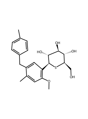 COc1cc(C)c(Cc2ccc(C)cc2)cc1[C@@H]1S[C@H](CO)[C@@H](O)[C@H](O)[C@H]1O